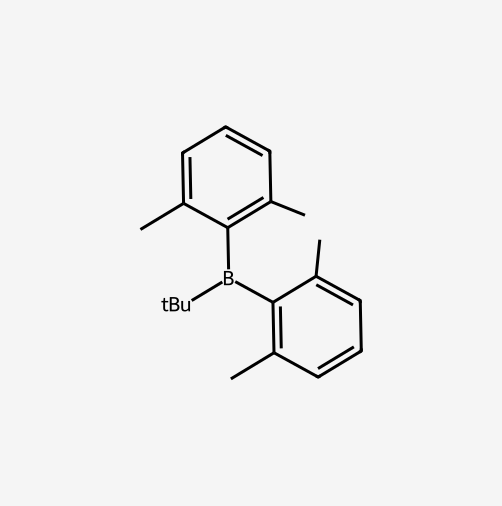 Cc1cccc(C)c1B(c1c(C)cccc1C)C(C)(C)C